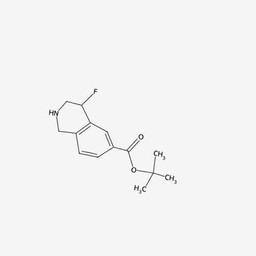 CC(C)(C)OC(=O)c1ccc2c(c1)C(F)CNC2